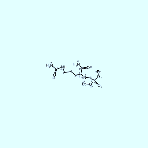 CCOP(=O)(CN[C@@H](CCCNC(N)=O)C(N)=O)OCC